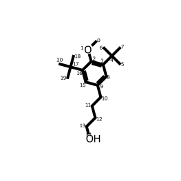 COc1c(C(C)(C)C)cc(CCCCO)cc1C(C)(C)C